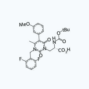 COc1cccc(-c2c(C)n(Cc3c(F)cccc3F)c(=O)n(C[C@H](NC(=O)OC(C)(C)C)C(=O)O)c2=O)c1